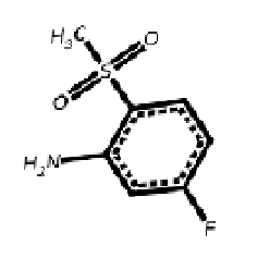 CS(=O)(=O)c1ccc(F)cc1N